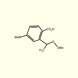 CNc1ccc(C(=O)O)c(C(C)SSC)c1